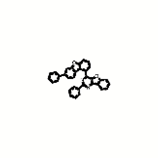 c1ccc(-c2ccc3c(c2)oc2cccc(-c4nc(-c5ccccc5)nc5c4oc4ccccc45)c23)cc1